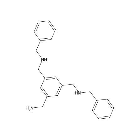 NCc1cc(CNCc2ccccc2)cc(CNCc2ccccc2)c1